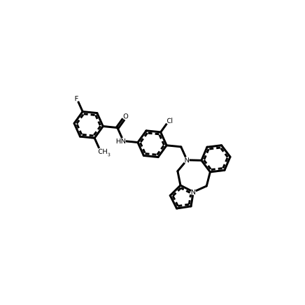 Cc1ccc(F)cc1C(=O)Nc1ccc(CN2Cc3cccn3Cc3ccccc32)c(Cl)c1